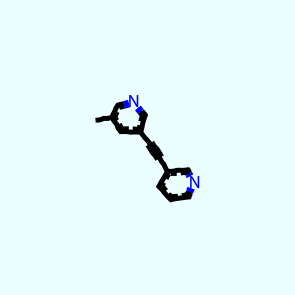 Cc1cncc(C#Cc2cccnc2)c1